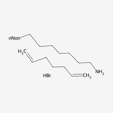 Br.C=CCCCC=C.CCCCCCCCCCCCCCCCN